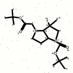 CC(C)(C)OC(=O)CN1CCC2C1C(F)(F)CN2C(=O)OC(C)(C)C